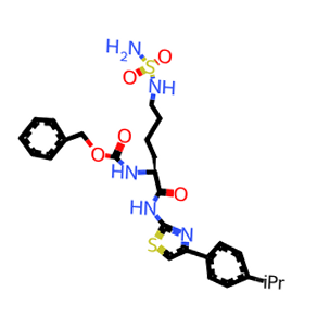 CC(C)c1ccc(-c2csc(NC(=O)[C@H](CCCCNS(N)(=O)=O)NC(=O)OCc3ccccc3)n2)cc1